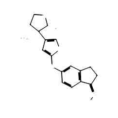 CO[C@]1(c2csc(Sc3ccc4c(c3)CC/C4=N/O)c2)CCO[C@@H]1C